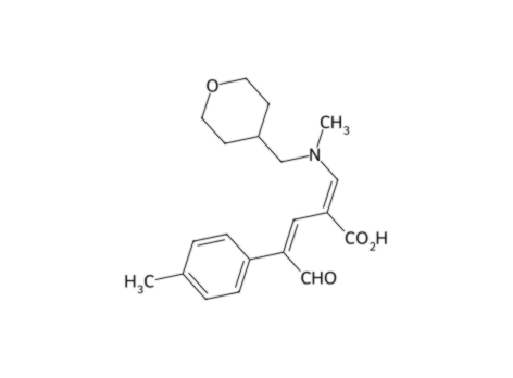 Cc1ccc(/C(C=O)=C/C(=C\N(C)CC2CCOCC2)C(=O)O)cc1